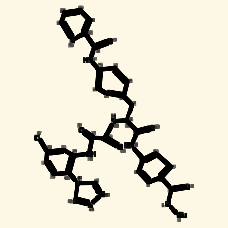 CC(C)(C)OC(=O)c1ccc(NC(=O)[C@H](Cc2ccc(NC(=O)c3ccccn3)cc2)NC(=O)C(=O)Nc2cc(Cl)ccc2-n2cnnn2)cc1